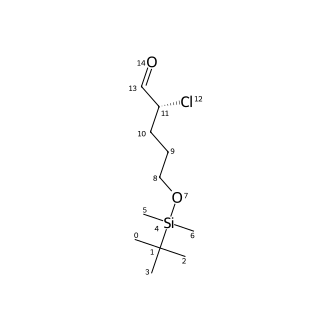 CC(C)(C)[Si](C)(C)OCCC[C@@H](Cl)C=O